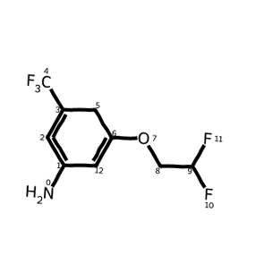 NC1=C=C(C(F)(F)F)CC(OCC(F)F)=C1